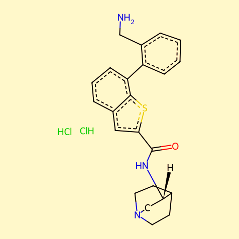 Cl.Cl.NCc1ccccc1-c1cccc2cc(C(=O)N[C@H]3CN4CCC3CC4)sc12